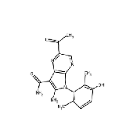 CC(=O)c1cnc2c(n1)c(C(N)=O)c(N)n2-c1c(C)ccc(O)c1C